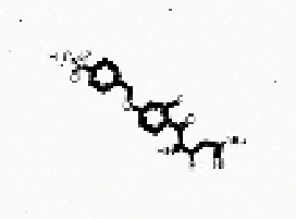 CC[C@@H](CC(=N)[C@H](C)CC)C(=N)C(=O)c1ccc(OCc2ccc(S(C)(=O)=O)cc2)cc1F